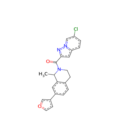 CC1c2cc(-c3ccoc3)ccc2CCN1C(=O)c1cc2ccc(Cl)cn2n1